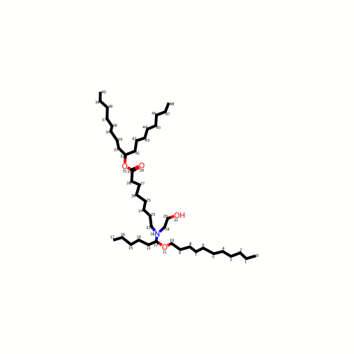 CCCCCCCCCCCOC(CCCCC)N(CCO)CCCCCCCC(=O)OC(CCCCCCCC)CCCCCCCC